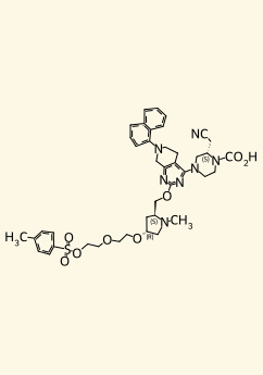 Cc1ccc(S(=O)(=O)OCCOCCO[C@@H]2C[C@@H](COc3nc4c(c(N5CCN(C(=O)O)[C@@H](CC#N)C5)n3)CCN(c3cccc5ccccc35)C4)N(C)C2)cc1